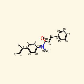 [CH2]C=C(C)c1ccc(N(C(C)=O)C(=O)C=Cc2ccccc2)cc1